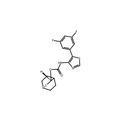 O=C(Nc1ncsc1-c1cc(F)cc(F)c1)O[C@H]1CN2CCC1CC2